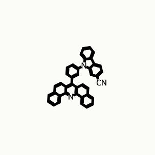 N#Cc1ccc2c3ccccc3n(-c3cccc(-c4c5ccc6ccccc6c5nc5c4ccc4ccccc45)c3)c2c1